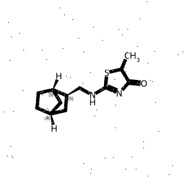 CC1SC(NC[C@H]2C[C@@H]3CC[C@H]2C3)=NC1=O